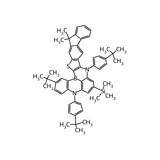 CC(C)(C)c1ccc(N2c3ccc(C(C)(C)C)cc3B3c4sc5cc6c(cc5c4N(c4ccc(C(C)(C)C)cc4)c4cc([Si](C)(C)C)cc2c43)-c2ccccc2C6(C)C)cc1